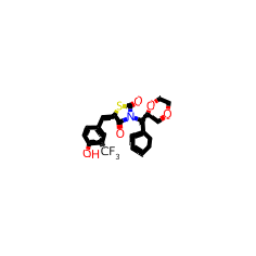 O=C1SC(=Cc2ccc(O)c(C(F)(F)F)c2)C(=O)N1C(C1=CC=CCC1)C1COCCO1